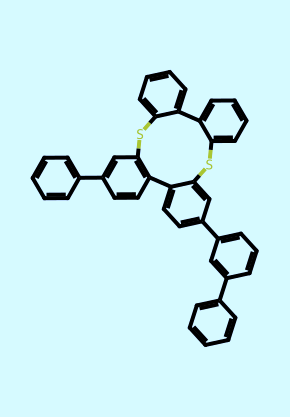 c1ccc(-c2cccc(-c3ccc4c(c3)Sc3ccccc3-c3ccccc3Sc3cc(-c5ccccc5)ccc3-4)c2)cc1